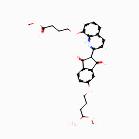 COC(=O)CCCOc1cccc2ccc(C3C(=O)c4ccc(OCCCC(O)OC)cc4C3=O)nc12